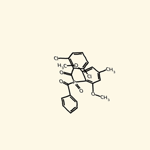 COc1cc(C)cc(OC)c1P(=O)(C(=O)c1ccccc1)C(=O)c1c(Cl)cccc1Cl